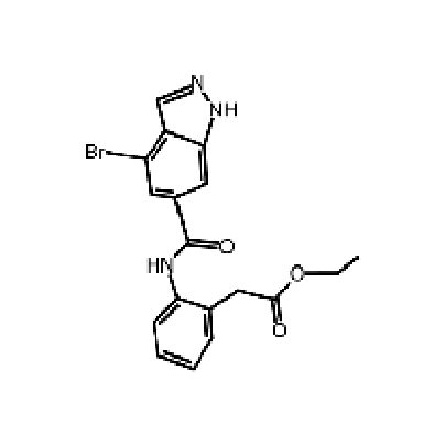 CCOC(=O)Cc1ccccc1NC(=O)c1cc(Br)c2cn[nH]c2c1